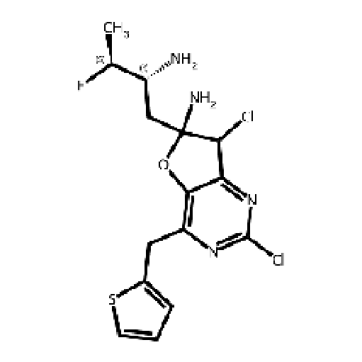 C[C@H](F)[C@H](N)CC1(N)Oc2c(Cc3cccs3)nc(Cl)nc2C1Cl